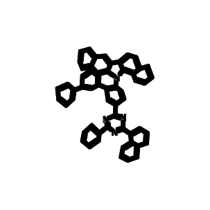 c1ccc(-c2cccc(-c3cc(-c4nc(-c5ccccc5)nc(-c5cccc6ccccc56)n4)ccc3-n3c4cc5ccccc5cc4c4ccc5ccccc5c43)c2)cc1